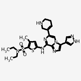 CCN(CC)S(=O)(=O)c1sc(Nc2nc(C3=CCCNC3)cn3c(-c4cn[nH]c4)cnc23)cc1C